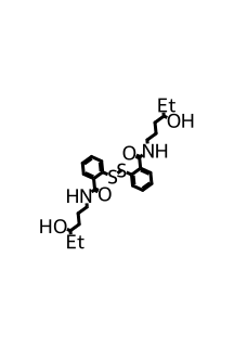 CCC(O)CCCNC(=O)c1ccccc1SSc1ccccc1C(=O)NCCCC(O)CC